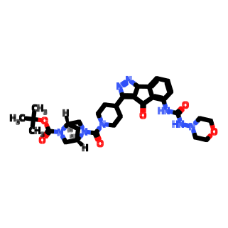 CC(C)(C)OC(=O)N1C[C@@H]2C[C@H]1CN2C(=O)N1CCC(C2=C3C(=O)c4c(NC(=O)NN5CCOCC5)cccc4C3N=N2)CC1